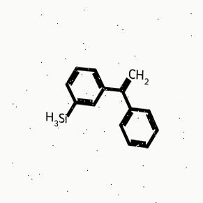 C=C(c1ccccc1)c1cccc([SiH3])c1